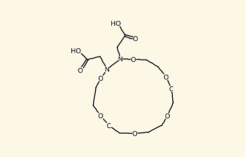 O=C(O)CN1OCCOCCOCCOCCOCCON1CC(=O)O